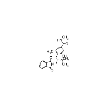 CNC(=O)c1cc(C)c(C[C@@H](CN2C(=O)c3ccccc3C2=O)N(C)C)c(C)c1